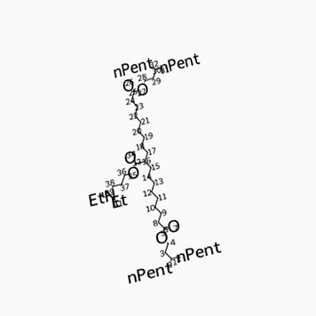 CCCCCC(CCCCC)CCOC(=O)CCCCCCCCC(CCCCCCCCC(=O)OCCC(CCCCC)CCCCC)C(=O)OCCCN(CC)CC